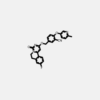 Cc1ccc(Oc2ccc(COc3cc4n(c(=O)n3)CCc3cc(F)ccc3-4)cc2C#N)cn1